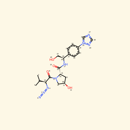 CC(C)[C@H](N=[N+]=[N-])C(=O)N1C[C@H](O)C[C@H]1C(=O)N[C@@H](CO)c1ccc(-n2cncn2)cc1